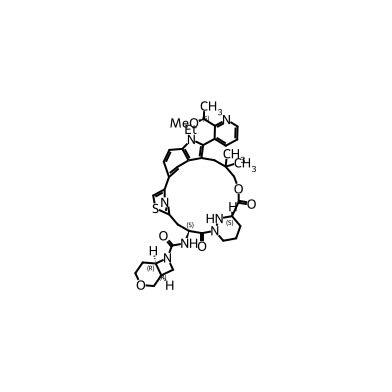 CCn1c(-c2cccnc2[C@H](C)OC)c2c3cc(ccc31)-c1csc(n1)C[C@H](NC(=O)N1C[C@H]3COCC[C@H]31)C(=O)N1CCC[C@H](N1)C(=O)OCC(C)(C)C2